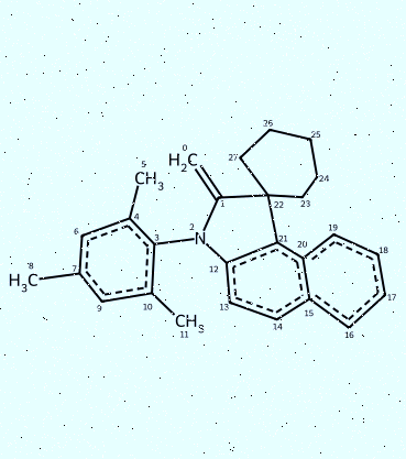 C=C1N(c2c(C)cc(C)cc2C)c2ccc3ccccc3c2C12CCCCC2